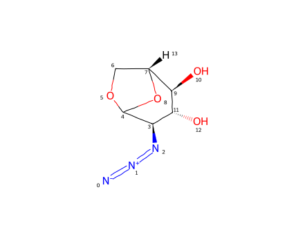 [N-]=[N+]=N[C@H]1C2OC[C@@H](O2)[C@@H](O)[C@@H]1O